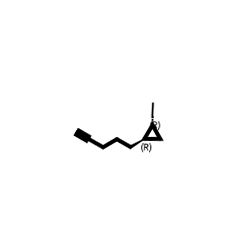 C#CCCC[C@@H]1C[C@H]1I